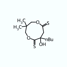 CCCCC1(O)CC(=S)OCC(C)(C)COC1=S